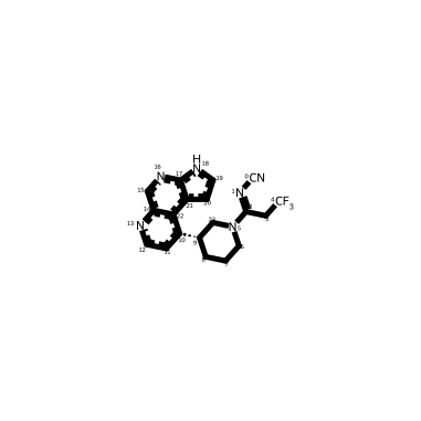 N#CN=C(CC(F)(F)F)N1CCC[C@H](c2ccnc3cnc4[nH]ccc4c23)C1